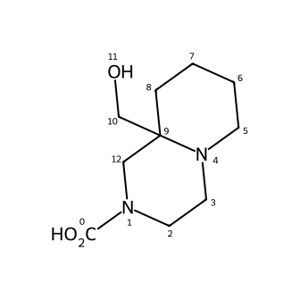 O=C(O)N1CCN2CCCCC2(CO)C1